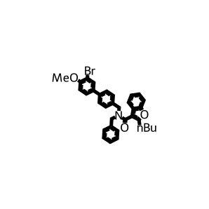 CCCCc1oc2ccccc2c1C(=O)N(Cc1ccccc1)Cc1ccc(-c2ccc(OC)c(Br)c2)cc1